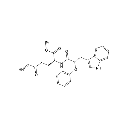 CC(C)OC(=O)[C@H](CCC(=O)C=N)NC(=O)[C@H](Cc1c[nH]c2ccccc12)Oc1ccccc1